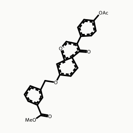 COC(=O)c1cccc(COc2ccc3c(=O)c(-c4ccc(OC(C)=O)cc4)coc3c2)c1